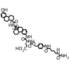 C[C@]1(C(=O)NC(=O)[C@@]2(C)CCC[C@]3(C)c4cc(NC(=O)[C@H](CCC(=O)O)NC(=O)OCc5ccc(NC(=O)CCCCNC(N)=O)cc5)ccc4CC[C@@H]23)CCC[C@]2(C)c3cc(O)ccc3CCC12